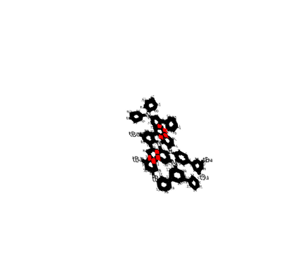 CC(C)(C)c1cc(-c2ccc3c(c2)N(c2cc(-c4ccccc4)cc(-c4ccccc4)c2)c2cc(-c4cc(C(C)(C)C)cc(C(C)(C)C)c4)cc4c2B3c2ccc(-n3c5ccccc5c5cc(N(c6ccccc6)c6ccccc6)ccc53)cc2N4c2c(-c3ccccc3)cc(C(C)(C)C)cc2-c2ccccc2)cc(C(C)(C)C)c1